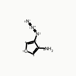 [N-]=[N+]=Nc1cocc1N